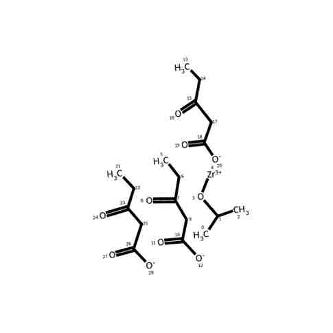 CC(C)[O][Zr+3].CCC(=O)CC(=O)[O-].CCC(=O)CC(=O)[O-].CCC(=O)CC(=O)[O-]